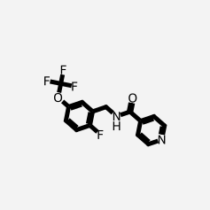 O=C(NCc1cc(OC(F)(F)F)ccc1F)c1ccncc1